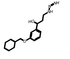 N=NNCCC(O)c1cccc(OCC2CCCCC2)c1